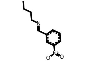 CCCC/N=C/c1cccc([N+](=O)[O-])c1